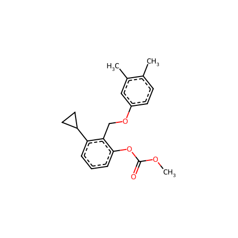 COC(=O)Oc1cccc(C2CC2)c1COc1ccc(C)c(C)c1